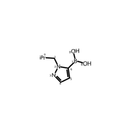 CC(C)Cn1nccc1B(O)O